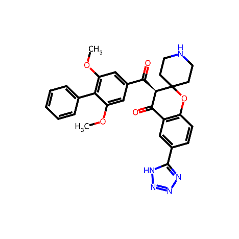 COc1cc(C(=O)[C@@H]2C(=O)c3cc(-c4nnn[nH]4)ccc3OC23CCNCC3)cc(OC)c1-c1ccccc1